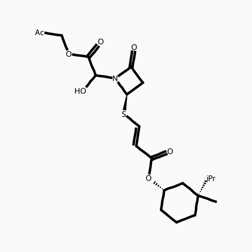 CC(=O)COC(=O)C(O)N1C(=O)C[C@H]1SC=CC(=O)O[C@H]1CCC[C@@](C)(C(C)C)C1